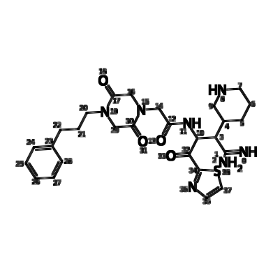 N=C(N)C(C1CCCNC1)C(NC(=O)CN1CC(=O)N(CCCc2ccccc2)CC1=O)C(=O)c1nccs1